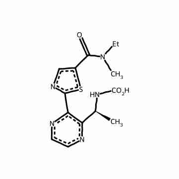 CCN(C)C(=O)c1cnc(-c2nccnc2[C@H](C)NC(=O)O)s1